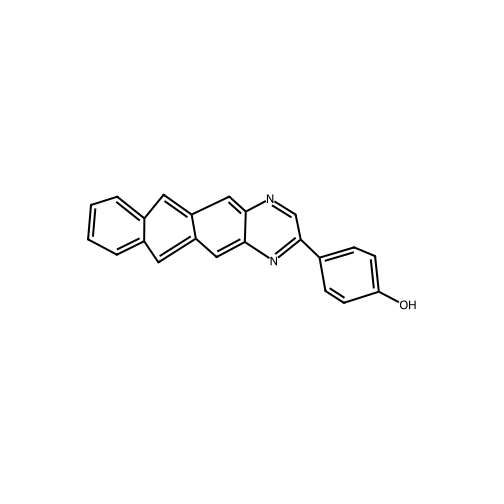 Oc1ccc(-c2cnc3cc4cc5ccccc5cc4cc3n2)cc1